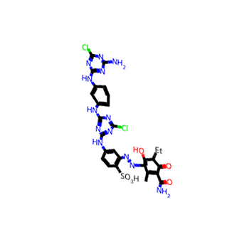 CCC1C(=O)C(C(N)=O)=C(C)C(N=Nc2cc(Nc3nc(Cl)nc(Nc4cccc(Nc5nc(N)nc(Cl)n5)c4)n3)ccc2S(=O)(=O)O)=C1O